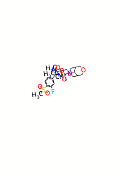 CC(C)(C)OC(=O)N1CC2COCC(C1)C2OCc1nc(-c2ccc(S(C)(=O)=O)c(F)c2)no1